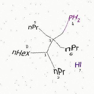 CCCCCCC(CCC)C(P)(CCC)CCC.I